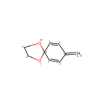 C=C1C=CC2(C=C1)OCCO2